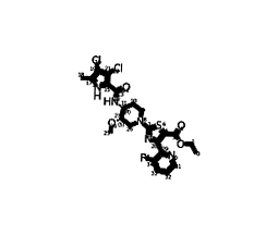 CCOC(=O)c1sc(N2CC[C@@H](NC(=O)c3[nH]c(C)c(Cl)c3Cl)[C@@H](OC)C2)nc1-c1ncccc1F